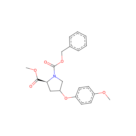 COC(=O)[C@@H]1CC(Oc2ccc(OC)cc2)CN1C(=O)OCc1ccccc1